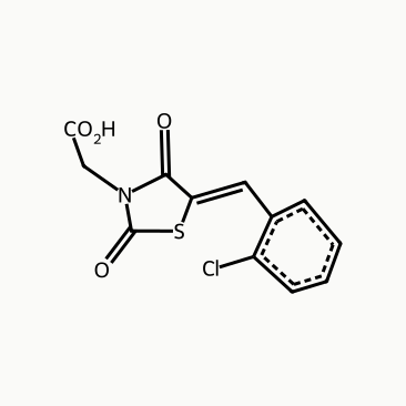 O=C(O)CN1C(=O)SC(=Cc2ccccc2Cl)C1=O